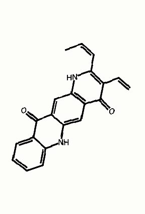 C=Cc1c(/C=C\C)[nH]c2cc3c(=O)c4ccccc4[nH]c3cc2c1=O